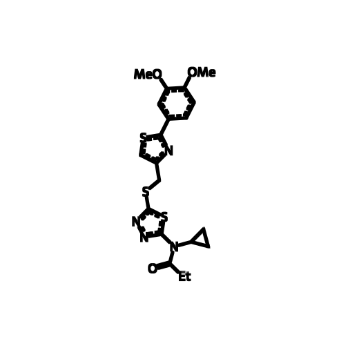 CCC(=O)N(c1nnc(SCc2csc(-c3ccc(OC)c(OC)c3)n2)s1)C1CC1